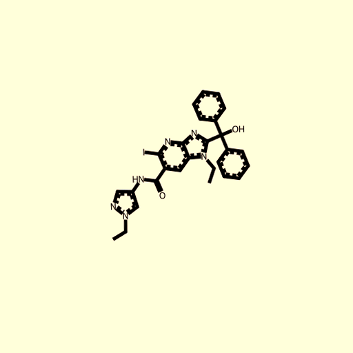 CCn1cc(NC(=O)c2cc3c(nc2I)nc(C(O)(c2ccccc2)c2ccccc2)n3CC)cn1